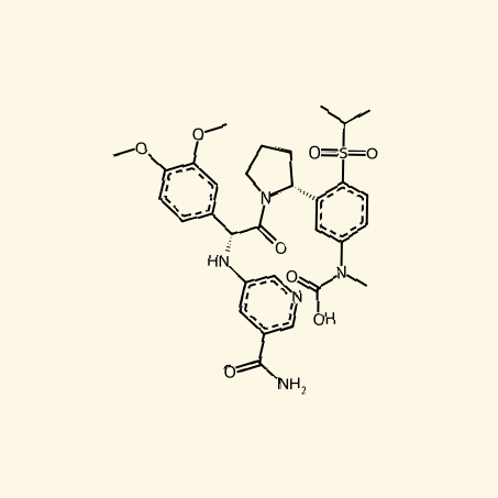 COc1ccc([C@@H](Nc2cncc(C(N)=O)c2)C(=O)N2CCC[C@@H]2c2cc(N(C)C(=O)O)ccc2S(=O)(=O)C(C)C)cc1OC